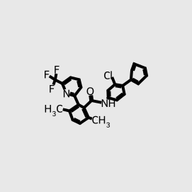 Cc1ccc(C)c(-c2cccc(C(F)(F)F)n2)c1C(=O)Nc1ccc(-c2ccccc2)c(Cl)c1